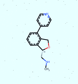 CNC[C@H]1OCc2c(-c3ccncc3)cccc21